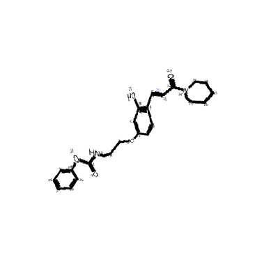 O=C(NCCOc1ccc(/C=C/C(=O)N2CCCCC2)c(O)c1)Oc1ccccc1